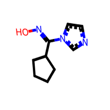 O/N=C(\C1CCCC1)n1ccnc1